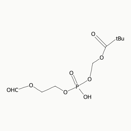 CC(C)(C)C(=O)OCOP(=O)(O)OCCOC=O